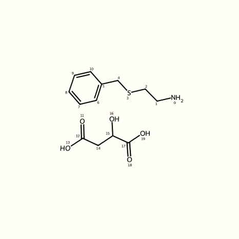 NCCSCc1ccccc1.O=C(O)CC(O)C(=O)O